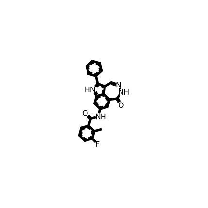 Cc1c(F)cccc1C(=O)Nc1cc2c3c(c(-c4ccccc4)[nH]c3c1)C=NNC2=O